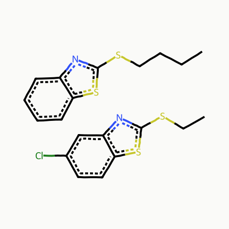 CCCCSc1nc2ccccc2s1.CCSc1nc2cc(Cl)ccc2s1